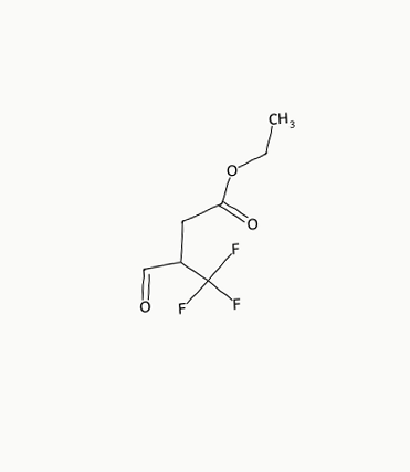 CCOC(=O)CC(C=O)C(F)(F)F